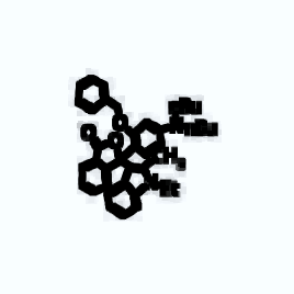 CCCCN(CCCC)c1ccc(C2(c3c(C)n(CC)c4ccccc34)OC(=O)c3ccccc32)c(OCc2ccccc2)c1